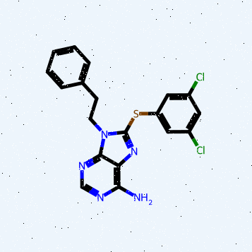 Nc1ncnc2c1nc(Sc1cc(Cl)cc(Cl)c1)n2CCc1ccccc1